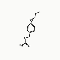 [2H]C(=O)OCc1ccc(NCCC)cc1